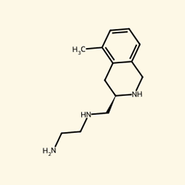 Cc1cccc2c1C[C@H](CNCCN)NC2